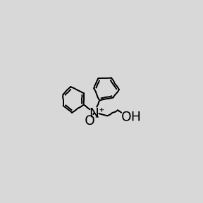 [O-][N+](CCO)(c1ccccc1)c1ccccc1